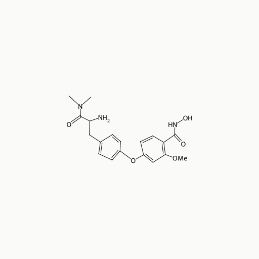 COc1cc(Oc2ccc(CC(N)C(=O)N(C)C)cc2)ccc1C(=O)NO